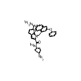 N=C(N)c1ccc2cc(C(=O)Nc3ccc(N)cc3)n(Cc3cc(Oc4ccccc4)cc4ccccc34)c2n1